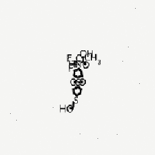 CC(O)(C(=O)Nc1ccc(S(=O)(=O)c2ccc(SCCO)cc2)cc1F)C(F)(F)F